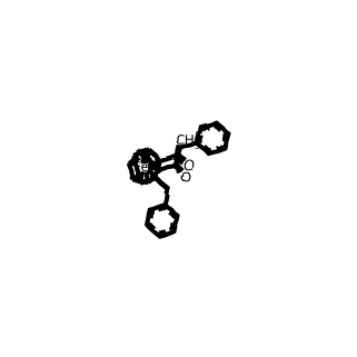 CC(=O)[C]12[CH]3[CH]4[CH]5[C]1(Cc1ccccc1)[Fe]45321678[CH]2[CH]1[CH]6[C]7(C(=O)Cc1ccccc1)[CH]28